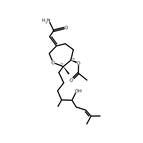 CC(=O)O[C@@H]1CC/C(=C\C(N)=O)CO[C@@]1(C)CCCC(C)C(O)CC=C(C)C